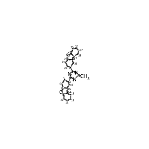 Cc1nc(-c2ccc3oc4ccccc4c3c2)nc(-c2ccc3sc4ccccc4c3c2)n1